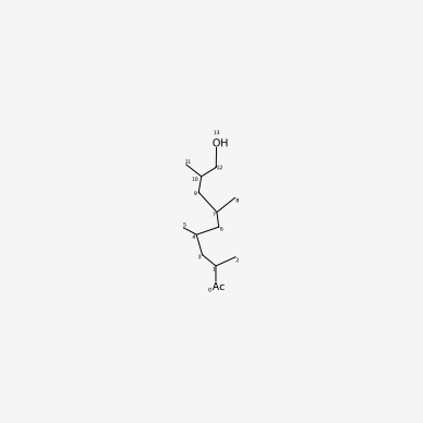 CC(=O)C(C)CC(C)CC(C)CC(C)CO